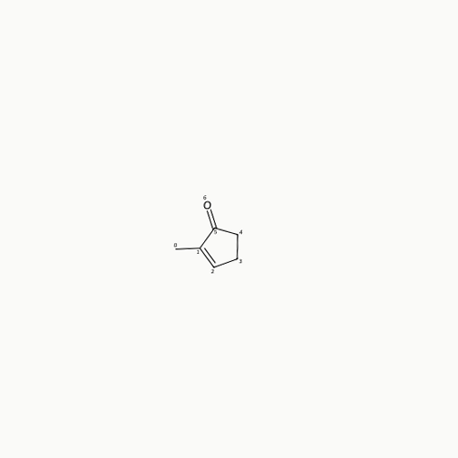 CC1=CCCC1=O